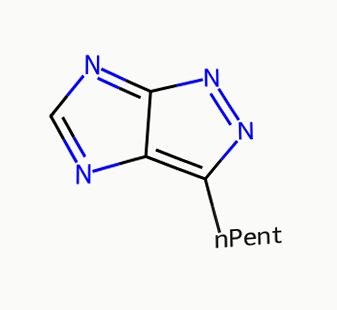 CCCCCC1=C2N=CN=C2N=N1